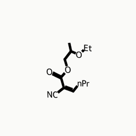 CCCC=C(C#N)C(=O)OCC(C)OCC